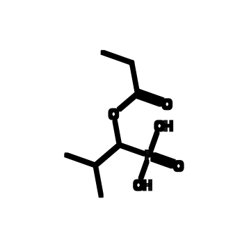 CCC(=O)OC(C(C)C)P(=O)(O)O